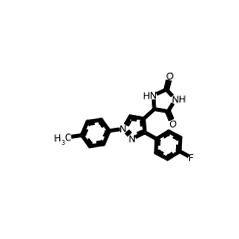 Cc1ccc(-n2cc(C3NC(=O)NC3=O)c(-c3ccc(F)cc3)n2)cc1